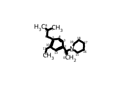 C=C(c1ccc(CC(C)C)c(CC)c1)N1CCCCC1